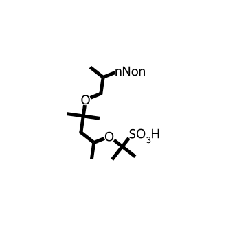 CCCCCCCCCC(C)COC(C)(C)CC(C)OC(C)(C)S(=O)(=O)O